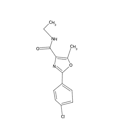 CCNC(=O)c1nc(-c2ccc(Cl)cc2)oc1C